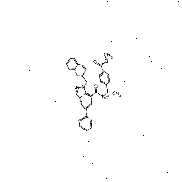 COC(=O)c1ccc([C@H](C)NC(=O)c2cc(-c3ccccc3)cc3cnn(Cc4ccc5ccccc5c4)c23)cc1